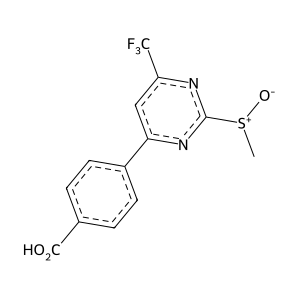 C[S+]([O-])c1nc(-c2ccc(C(=O)O)cc2)cc(C(F)(F)F)n1